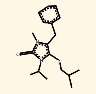 CC(C)CSc1c(Cc2ccccc2)n(C)c(=O)n1C(C)C